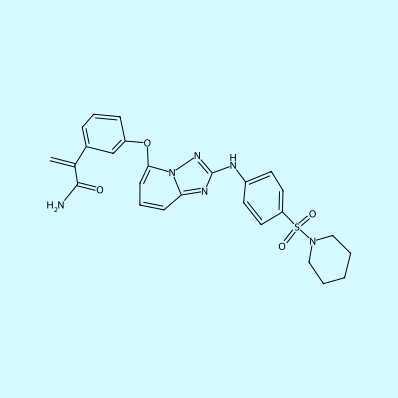 C=C(C(N)=O)c1cccc(Oc2cccc3nc(Nc4ccc(S(=O)(=O)N5CCCCC5)cc4)nn23)c1